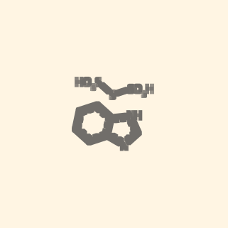 O=S(=O)(O)SS(=O)(=O)O.c1ccc2[nH]cnc2c1